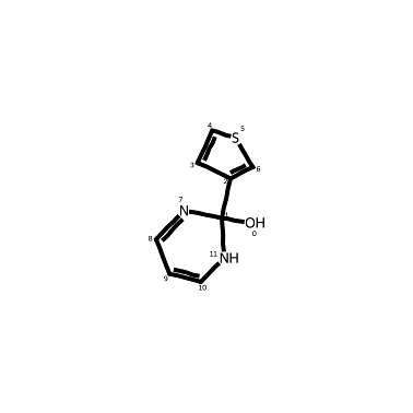 OC1(c2ccsc2)N=CC=CN1